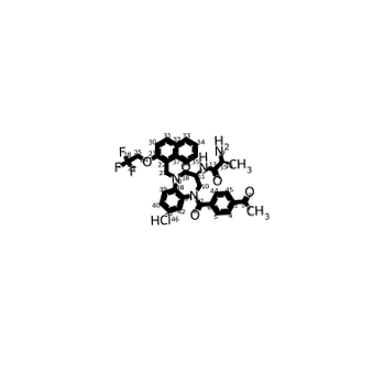 CC(=O)c1ccc(C(=O)N2C[C@H](NC(=O)[C@H](C)N)C(=O)N(Cc3c(OCC(F)(F)F)ccc4ccccc34)c3ccccc32)cc1.Cl